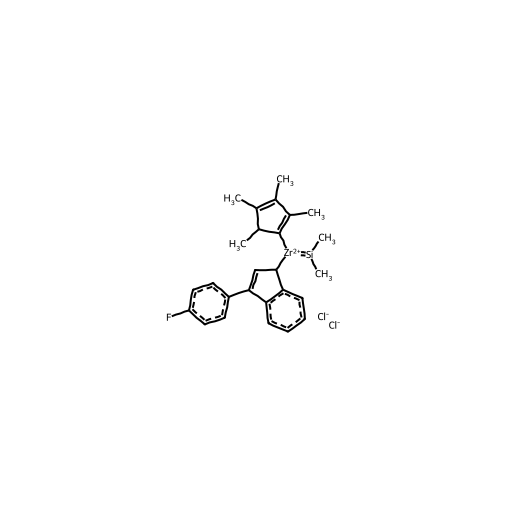 CC1=C(C)C(C)[C]([Zr+2]([CH]2C=C(c3ccc(F)cc3)c3ccccc32)=[Si](C)C)=C1C.[Cl-].[Cl-]